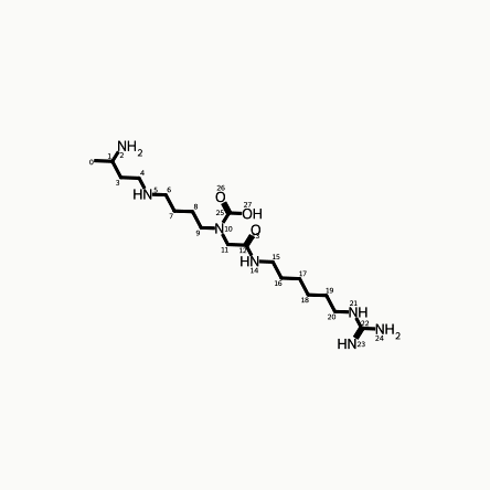 CC(N)CCNCCCCN(CC(=O)NCCCCCCNC(=N)N)C(=O)O